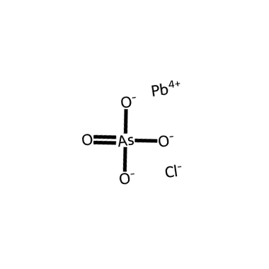 O=[As]([O-])([O-])[O-].[Cl-].[Pb+4]